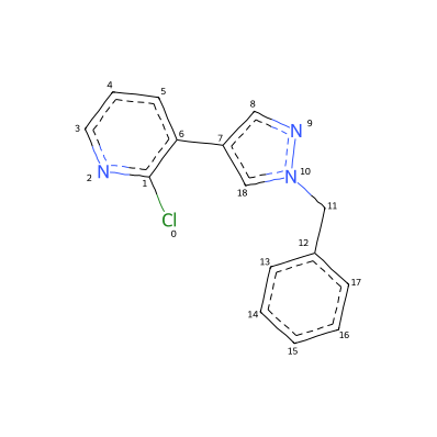 Clc1ncccc1-c1cnn(Cc2ccccc2)c1